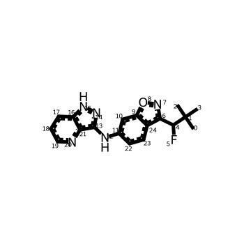 CC(C)(C)C(F)c1noc2cc(Nc3n[nH]c4cccnc34)ccc12